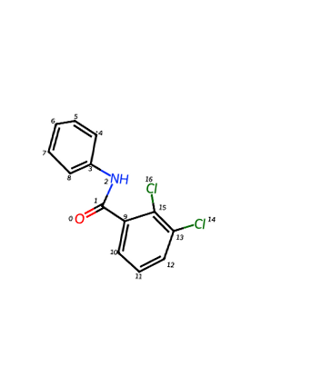 O=C(Nc1[c]cccc1)c1cccc(Cl)c1Cl